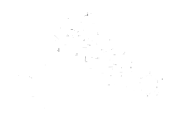 CCN(CCCNC(=O)[C@]12CC[C@@H](C(C)C)[C@@H]1[C@H]1CC[C@@H]3[C@@]4(C)CC=C(c5ccc(C(=O)O)cc5)C(C)(C)[C@@H]4CC[C@@]3(C)[C@]1(C)CC2)CCC(=O)O